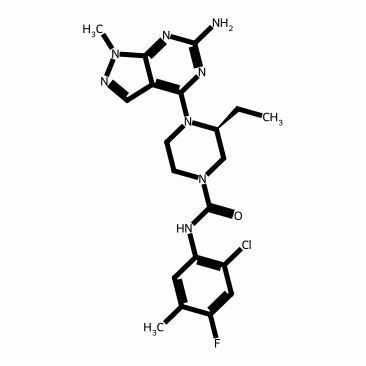 CC[C@H]1CN(C(=O)Nc2cc(C)c(F)cc2Cl)CCN1c1nc(N)nc2c1cnn2C